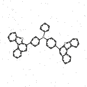 c1ccc(N(c2ccc(-c3cc4ccccc4c4c3oc3ccccc34)cc2)c2ccc(-c3cc4ccccc4c4c3oc3ccccc34)cc2)cc1